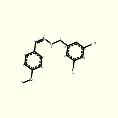 COc1ccc(/[C]=N\OCc2cc(F)cc(F)c2)cc1